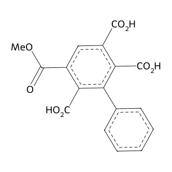 COC(=O)c1cc(C(=O)O)c(C(=O)O)c(-c2ccccc2)c1C(=O)O